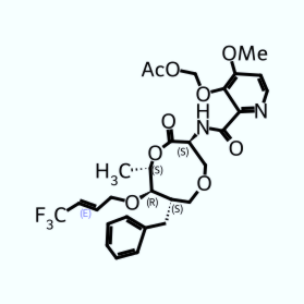 COc1ccnc(C(=O)N[C@H]2COC[C@H](Cc3ccccc3)[C@@H](OC/C=C/C(F)(F)F)[C@H](C)OC2=O)c1OCOC(C)=O